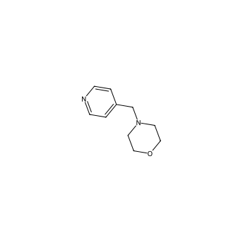 c1cc(CN2CCOCC2)ccn1